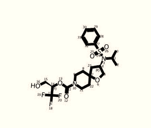 CC(C)N([C@H]1COC2(CCN(C(=O)O[C@H](CO)C(F)(F)F)CC2)C1)S(=O)(=O)c1ccccc1